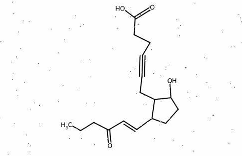 CCCC(=O)C=CC1CCC(O)C1CC#CCCC(=O)O